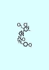 COc1ccc(CN2CCN(c3ccn(-c4cc(C)nc(Cl)c4CC=O)n3)C2=O)cc1